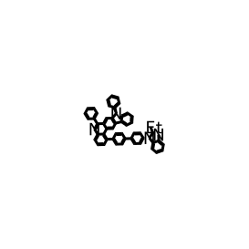 CCc1nc2ccccc2n1-c1ccc(-c2ccc(-c3cccc4nc(-c5ccccc5)c5cc6c(cc5c34)c3ccccc3n6-c3ccccc3)cc2)cc1